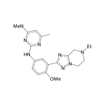 CCN1CCn2nc(-c3cc(Nc4nc(C)cc(NC)n4)ccc3OC)nc2C1